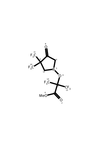 COC(=O)C(OB1CC(=O)C(C(F)(F)F)(C(F)(F)F)C1)(C(F)(F)F)C(F)(F)F